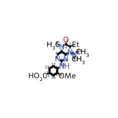 CCC1C(=O)N(C)c2cnc(Nc3ccc(C(=O)O)cc3OC)nc2N1N(C)C